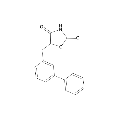 O=C1NC(=O)C(Cc2cccc(-c3ccccc3)c2)O1